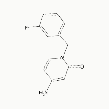 Nc1ccn(Cc2cccc(F)c2)c(=O)c1